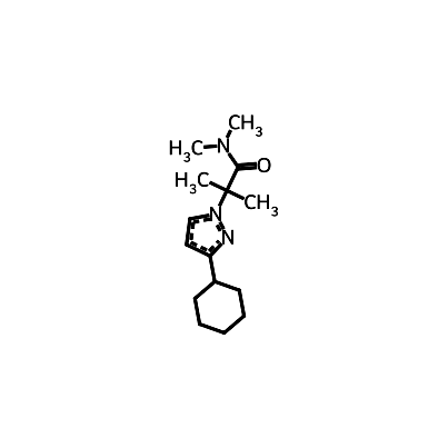 CN(C)C(=O)C(C)(C)n1ccc(C2CCCCC2)n1